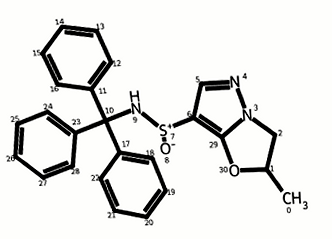 CC1Cn2ncc([S+]([O-])NC(c3ccccc3)(c3ccccc3)c3ccccc3)c2O1